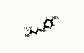 N=C(N)CCNc1ccc([N+](=O)[O-])cn1